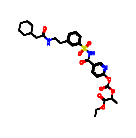 CCOC(=O)C(C)OC(=O)Oc1ccc(C(=O)NS(=O)(=O)c2cccc(CCNC(=O)CC3CCCCC3)c2)cn1